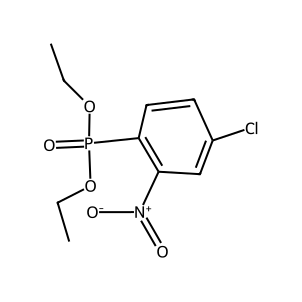 CCOP(=O)(OCC)c1ccc(Cl)cc1[N+](=O)[O-]